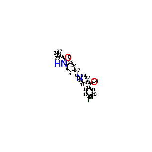 O=C(NC1CCC(CCN2CCC(C(=O)c3ccc(F)cc3)CC2)CC1)C1CCC1